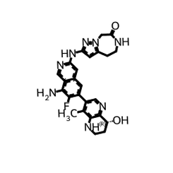 Cc1c(-c2cc3cc(Nc4cc5n(n4)CC(=O)NCC5)ncc3c(N)c2F)cnc2c1NCC[C@H]2O